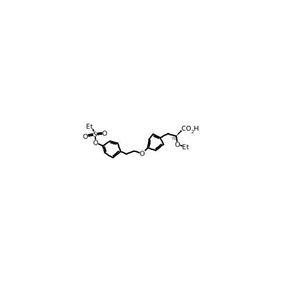 CCO[C@@H](Cc1ccc(OCCc2ccc(OS(=O)(=O)CC)cc2)cc1)C(=O)O